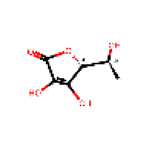 [CH2][C@H](O)[C@H]1OC(=O)C(O)=C1O